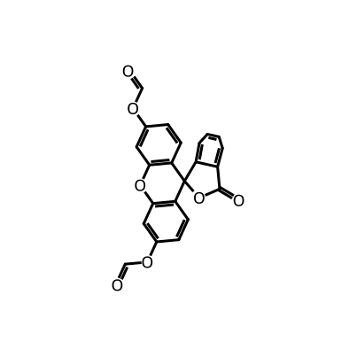 O=COc1ccc2c(c1)Oc1cc(OC=O)ccc1C21OC(=O)c2ccccc21